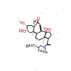 COC(CN(C)C(C)C1CC[C@@]2(O)C3=CC(=O)[C@@H]4C[C@@H](O)[C@@H](O)C[C@]4(C)C3CC[C@]12C)OC